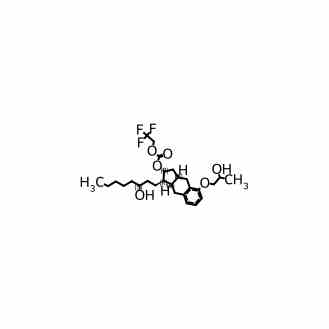 CCCCC[C@H](O)CC[C@@H]1[C@H]2Cc3cccc(OCC(C)O)c3C[C@H]2C[C@H]1OC(=O)OCC(F)(F)F